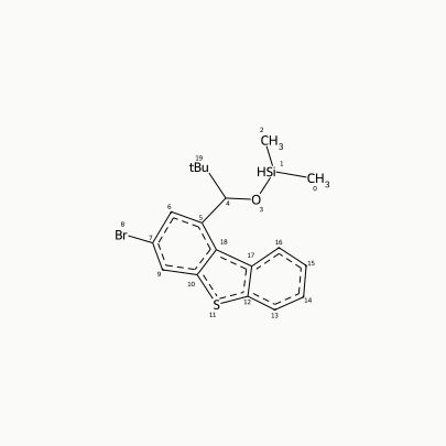 C[SiH](C)OC(c1cc(Br)cc2sc3ccccc3c12)C(C)(C)C